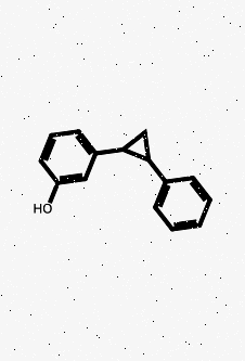 Oc1cccc(C2CC2c2ccccc2)c1